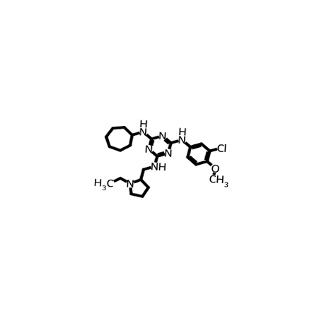 CCN1CCCC1CNc1nc(Nc2ccc(OC)c(Cl)c2)nc(NC2CCCCCC2)n1